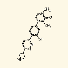 Cc1c(-c2ccc(-c3ccc(C4CNC4)nn3)c(O)c2)ccn(C)c1=O